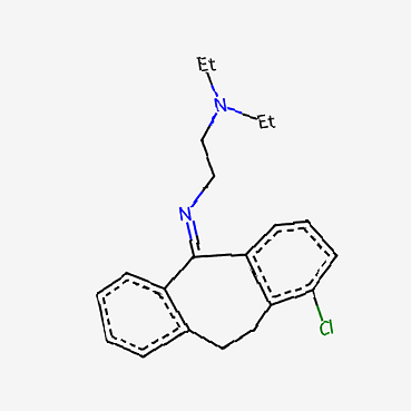 CCN(CC)CCN=C1c2ccccc2CCc2c(Cl)cccc21